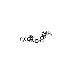 CC1(C)COC2(CCC(NC3CCC(Nc4ccnc5cc(C(F)(F)F)ccc45)CC3)CC2)OO1